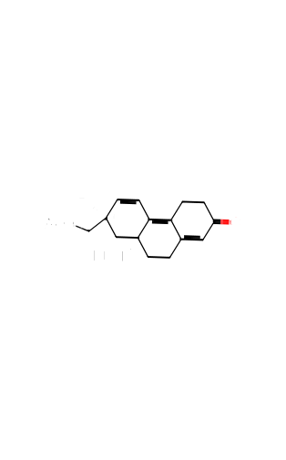 CC[C@H]1[C@@H]2CCC3=CC(=O)CCC3=C2C=C[C@]1(CC)COC(C)=O